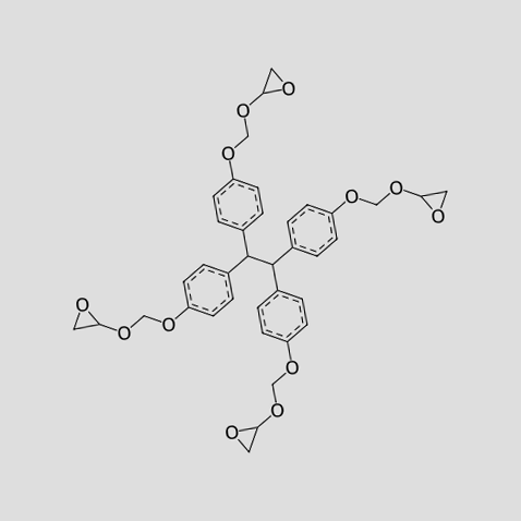 c1cc(C(c2ccc(OCOC3CO3)cc2)C(c2ccc(OCOC3CO3)cc2)c2ccc(OCOC3CO3)cc2)ccc1OCOC1CO1